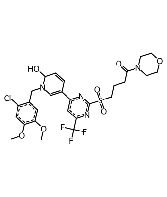 COc1cc(Cl)c(CN2C=C(c3cc(C(F)(F)F)nc(S(=O)(=O)CCCC(=O)N4CCOCC4)n3)C=CC2O)cc1OC